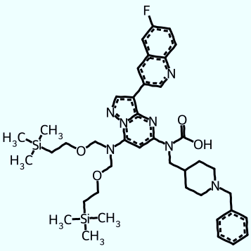 C[Si](C)(C)CCOCN(COCC[Si](C)(C)C)c1cc(N(CC2CCN(Cc3ccccc3)CC2)C(=O)O)nc2c(-c3cnc4ccc(F)cc4c3)cnn12